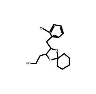 OCCC1OC2(CCCCC2)OC1Cc1ccccc1Cl